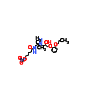 C=CCOc1ccccc1OCC(O)CNC(C)(C)CNC(=O)CCCCO[N+](=O)[O-]